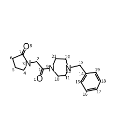 O=C(CN1CCCC1=O)N1CCN(Cc2ccccc2)CC1